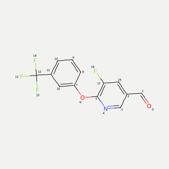 O=Cc1cnc(Oc2cccc(C(F)(F)F)c2)c(F)c1